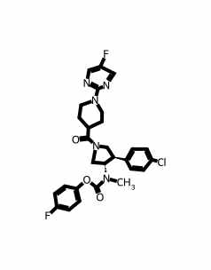 CN(C(=O)Oc1ccc(F)cc1)[C@@H]1CN(C(=O)C2CCN(c3ncc(F)cn3)CC2)C[C@H]1c1ccc(Cl)cc1